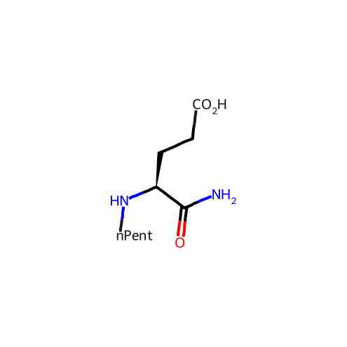 CCCCCN[C@@H](CCC(=O)O)C(N)=O